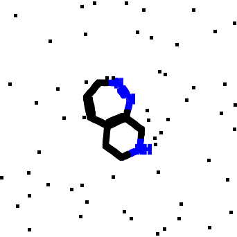 C1=CC2=C(CNCC2)N=NC1